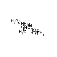 CN1CCC(Nc2cccc3c2cc(-c2nnc(CNc4ccc(S(C)(=O)=O)cc4)o2)n3CC(C)(F)F)CC1